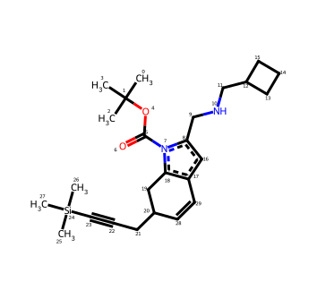 CC(C)(C)OC(=O)n1c(CNCC2CCC2)cc2c1CC(CC#C[Si](C)(C)C)C=C2